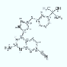 CC(C)(O)c1cccc(Cn2cc(-c3nc(N)nc4cc(C#N)ccc34)nn2)n1